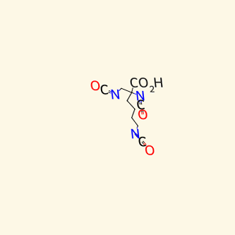 O=C=NCCCCC(CN=C=O)(N=C=O)C(=O)O